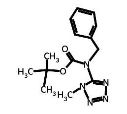 Cn1nnnc1N(Cc1ccccc1)C(=O)OC(C)(C)C